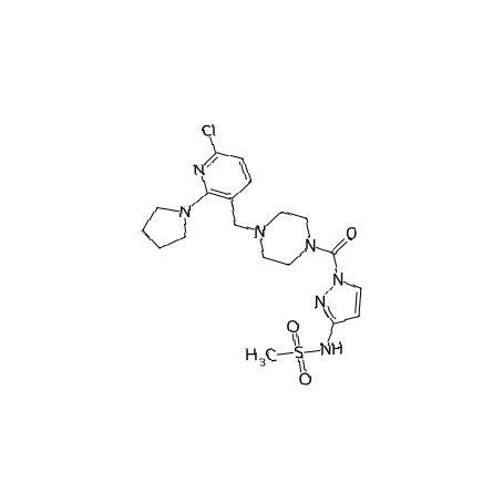 CS(=O)(=O)Nc1ccn(C(=O)N2CCN(Cc3ccc(Cl)nc3N3CCCC3)CC2)n1